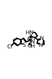 O=C1NCC[C@]1(NS(=O)(=O)c1cc2ccc(Cl)cc2s1)c1cnccn1